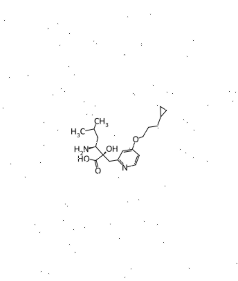 CC(C)C[C@H](N)[C@](O)(Cc1cc(OCCCC2CC2)ccn1)C(=O)O